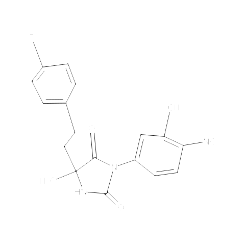 [C-]#[N+]c1ccc(N2C(=O)NC(C)(CCc3ccc(F)cc3)C2=O)cc1C